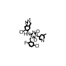 Cc1cncc(-n2c(=O)nc(Nc3cc4cn(C)nc4cc3Cl)n(Cc3cc(Cl)ccc3F)c2=O)c1